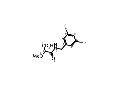 COC(C(=O)O)C(=O)NCc1cc(F)cc(F)c1